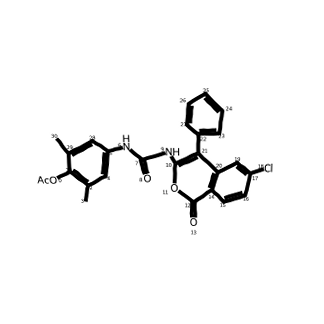 CC(=O)Oc1c(C)cc(NC(=O)Nc2oc(=O)c3ccc(Cl)cc3c2-c2ccccc2)cc1C